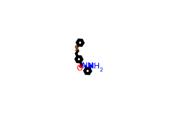 Nc1ccccc1NC(=O)c1ccc(CCSc2ccccc2)cc1